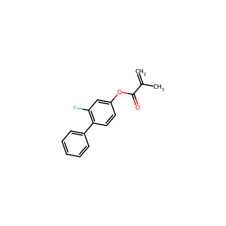 C=C(C)C(=O)Oc1ccc(-c2ccccc2)c(F)c1